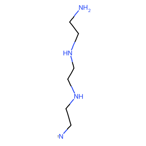 [N]CCNCCNCCN